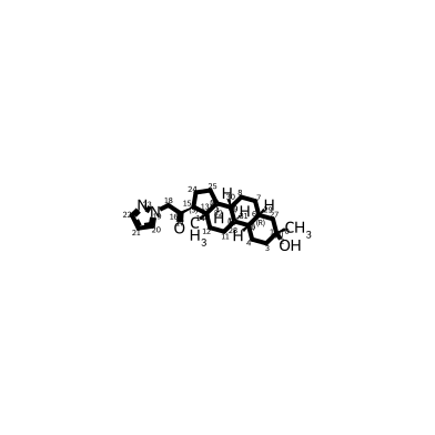 C[C@@]1(O)CC[C@H]2[C@H](CC[C@@H]3[C@@H]2CC[C@]2(C)[C@@H](C(=O)Cn4cccn4)CC[C@@H]32)C1